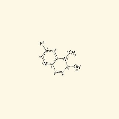 CN1c2cc(F)cnc2C=CC1O